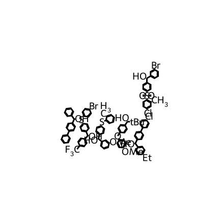 CCc1ccc(C(O)c2ccc(-c3ccc(Cl)cc3)cc2)cc1.COc1ccc(Oc2ccc(C(O)C(C)(C)C)cc2)cc1.COc1cccc(C(O)c2ccc(Sc3ccccc3C)cc2)c1.Cc1cc(Cl)ccc1S(=O)(=O)c1ccc(C(O)c2cccc(Br)c2)cc1.OC(c1ccc(Sc2ccc(Br)cc2)cc1)c1ccc(C(F)(F)F)cc1.OC(c1ccccc1)c1ccc(-c2ccccc2)cc1